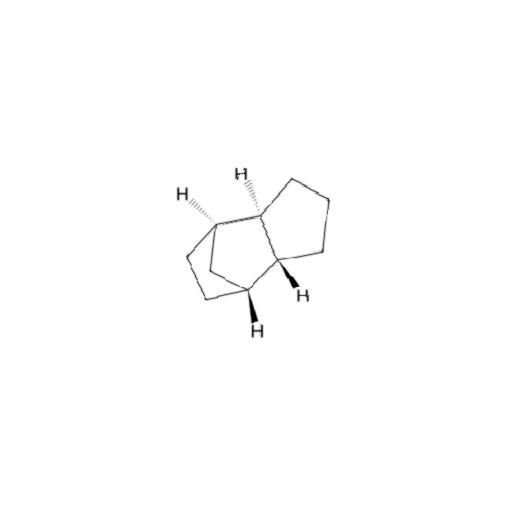 C1C[C@@H]2[C@@H]3CC[C@H](C3)[C@H]2C1